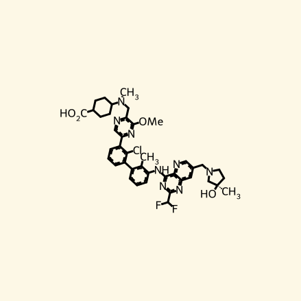 COc1nc(-c2cccc(-c3cccc(Nc4nc(C(F)F)nc5cc(CN6CC[C@@](C)(O)C6)cnc45)c3C)c2Cl)cnc1CN(C)C1CCC(C(=O)O)CC1